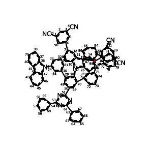 N#Cc1cc(C#N)cc(-c2ccc3c(c2)c2cc(-c4cc(C#N)cc(C#N)c4)ccc2n3-c2c(-c3cccc(-n4c5ccccc5c5ccccc54)c3)cc(-c3nc(-c4ccccc4)nc(-c4ccccc4)n3)cc2-c2cccc(-n3c4ccccc4c4ccccc43)c2)c1